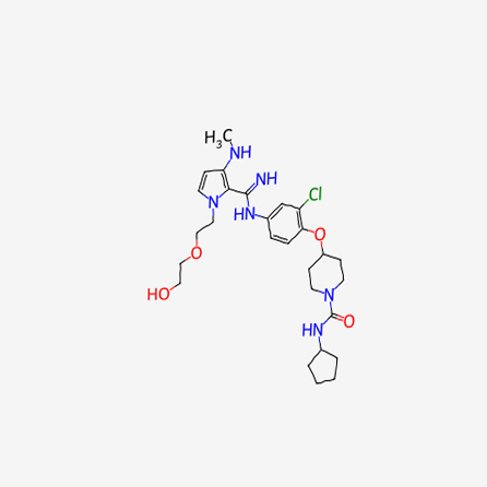 CNc1ccn(CCOCCO)c1C(=N)Nc1ccc(OC2CCN(C(=O)NC3CCCC3)CC2)c(Cl)c1